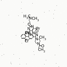 C=CC(=O)N1CCN(c2nc(=O)n(-c3c(C(C)C)nc(OCCN(C)C)nc3C(C)C)c3nc(-c4c(C)cccc4F)c(Cl)cc23)[C@@H](C)C1